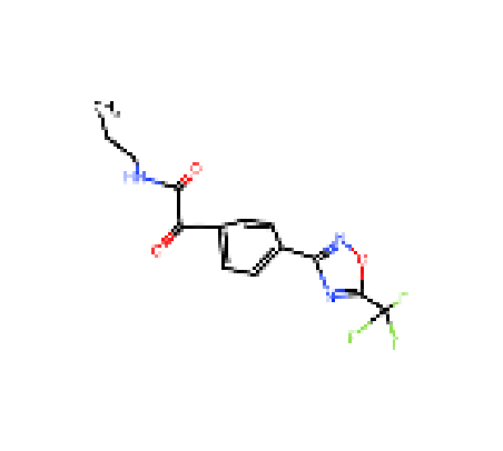 CCCNC(=O)C(=O)c1ccc(-c2noc(C(F)(F)F)n2)cc1